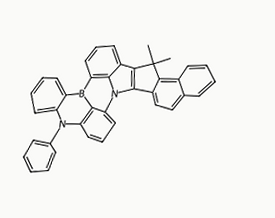 CC1(C)c2c(ccc3ccccc23)-c2c1c1cccc3c1n2-c1cccc2c1B3c1ccccc1N2c1ccccc1